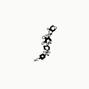 CN(c1ccc(C#N)cc1)S(=O)(=O)N1CCC(n2ncc(NC[C@H]3COCCC3(F)F)c(Cl)c2=O)CC1